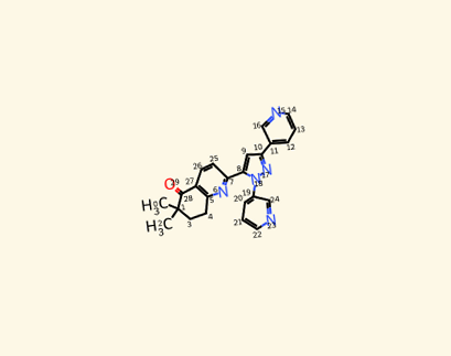 CC1(C)CCc2nc(-c3cc(-c4cccnc4)nn3-c3cccnc3)ccc2C1=O